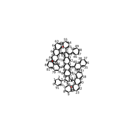 c1ccc(-c2c(-c3ccccc3)n(-c3c4ccccc4cc4ccccc34)c3cc4c(-c5ccc6ccccc6c5)c5cc6c(-c7ccccc7)c(-c7ccccc7)n(-c7c8ccccc8cc8ccccc78)c6cc5c(-c5ccc6ccccc6c5)c4cc23)cc1